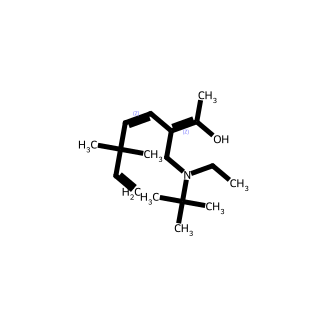 C=CC(C)(C)/C=C\C(CN(CC)C(C)(C)C)=C(/C)O